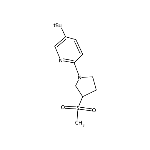 CC(C)(C)c1ccc(N2CCC(S(C)(=O)=O)C2)nc1